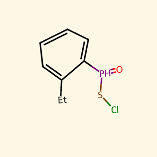 CCc1ccccc1[PH](=O)SCl